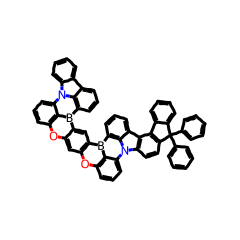 c1ccc(C2(c3ccccc3)c3ccccc3-c3c2ccc2c3c3cccc4c3n2-c2cccc3c2B4c2cc4c(cc2O3)Oc2cccc3c2B4c2cccc4c5ccccc5n-3c24)cc1